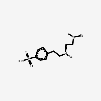 CCN(C)CCN(CCc1ccc(S(N)(=O)=O)cc1)C(C)=O